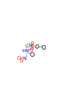 COC(=O)CN(C)CC[C@H](NC(=O)[C@@H]1SCCN1S(=O)(=O)c1ccc(-c2ccccc2)cc1)c1ccccc1